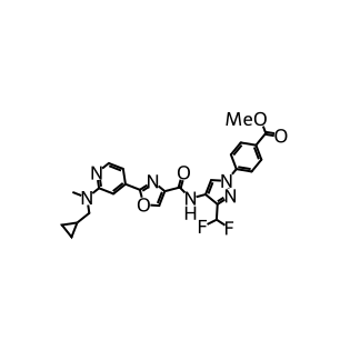 COC(=O)c1ccc(-n2cc(NC(=O)c3coc(-c4ccnc(N(C)CC5CC5)c4)n3)c(C(F)F)n2)cc1